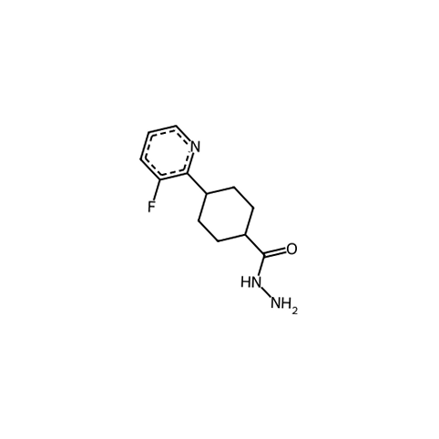 NNC(=O)C1CCC(c2ncccc2F)CC1